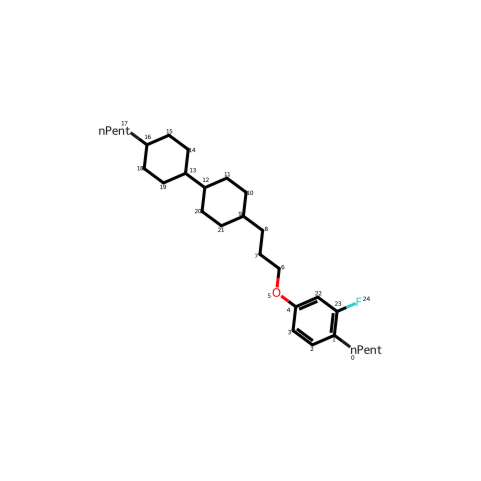 CCCCCc1ccc(OCCCC2CCC(C3CCC(CCCCC)CC3)CC2)cc1F